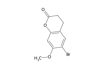 COc1cc2c(cc1Br)CCC(=O)O2